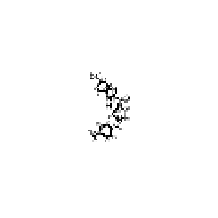 O=C(c1nc2cc(Br)ccc2[nH]1)N1CCN(Cc2ccc(C(F)F)cc2)CC1